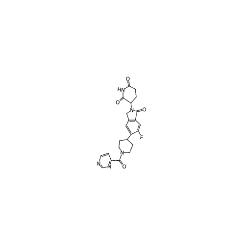 O=C1CCC(N2Cc3cc(C4CCN(C(=O)c5ccncn5)CC4)c(F)cc3C2=O)C(=O)N1